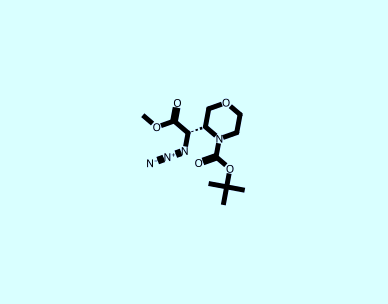 COC(=O)[C@@H](N=[N+]=[N-])C1COCCN1C(=O)OC(C)(C)C